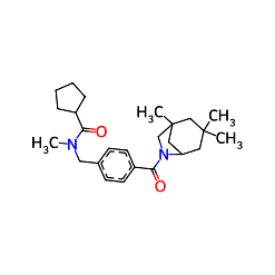 CN(Cc1ccc(C(=O)N2CC3(C)CC2CC(C)(C)C3)cc1)C(=O)C1CCCC1